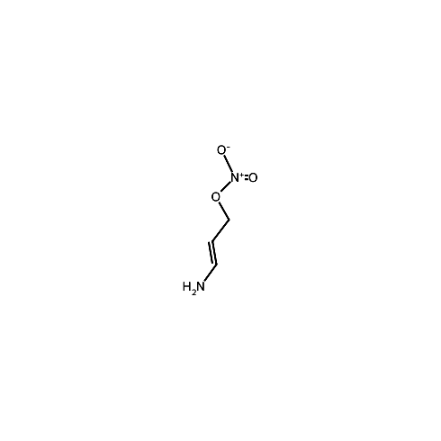 NC=CCO[N+](=O)[O-]